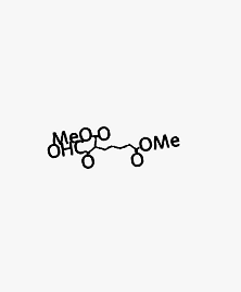 COC(=O)CCCCC(C(=O)C=O)C(=O)OC